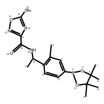 Cc1cc(B2OC(C)(C)C(C)(C)O2)ccc1C(C)NC(=O)c1noc(C(C)(C)C)n1